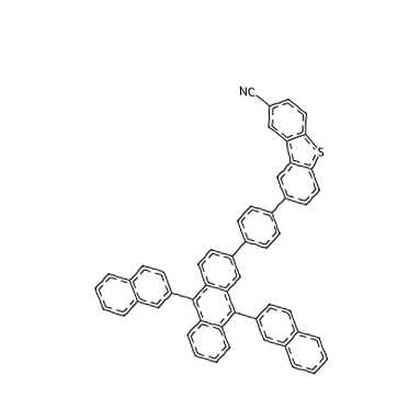 N#Cc1ccc2sc3ccc(-c4ccc(-c5ccc6c(-c7ccc8ccccc8c7)c7ccccc7c(-c7ccc8ccccc8c7)c6c5)cc4)cc3c2c1